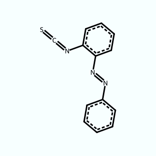 S=C=Nc1ccccc1N=Nc1ccccc1